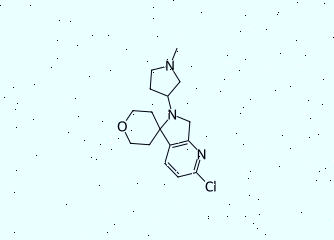 CN1CCC(N2Cc3nc(Cl)ccc3C23CCOCC3)C1